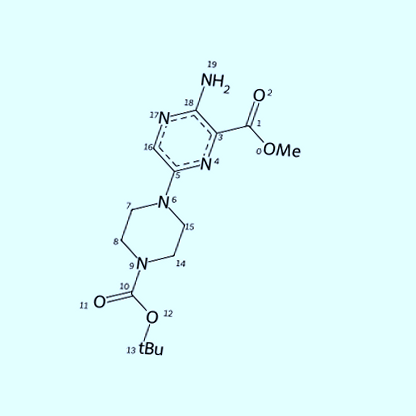 COC(=O)c1nc(N2CCN(C(=O)OC(C)(C)C)CC2)cnc1N